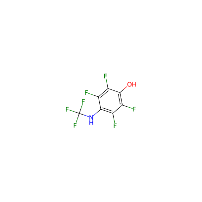 Oc1c(F)c(F)c(NC(F)(F)F)c(F)c1F